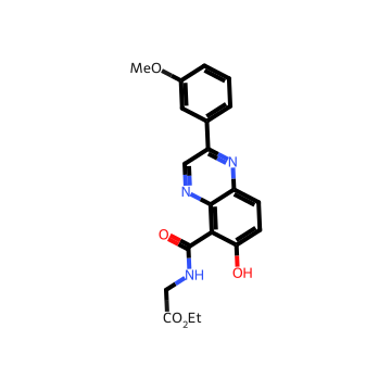 CCOC(=O)CNC(=O)c1c(O)ccc2nc(-c3cccc(OC)c3)cnc12